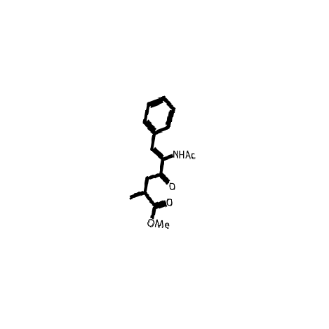 COC(=O)C(C)CC(=O)/C(=C/c1ccccc1)NC(C)=O